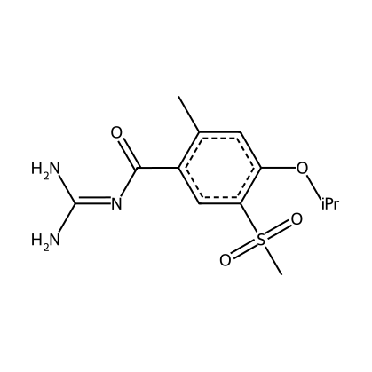 Cc1cc(OC(C)C)c(S(C)(=O)=O)cc1C(=O)N=C(N)N